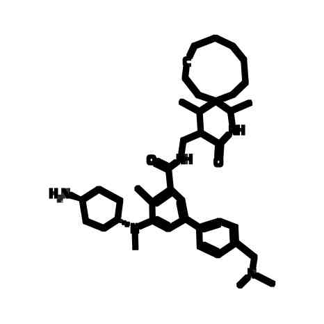 Cc1c(C(=O)NCC2C(=O)NC(C)C3(CCCCCCCCC3)C2C)cc(-c2ccc(CN(C)C)cc2)cc1N(C)[C@H]1CC[C@H](N)CC1